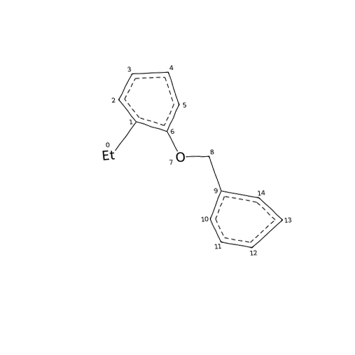 [CH2]Cc1ccccc1OCc1ccccc1